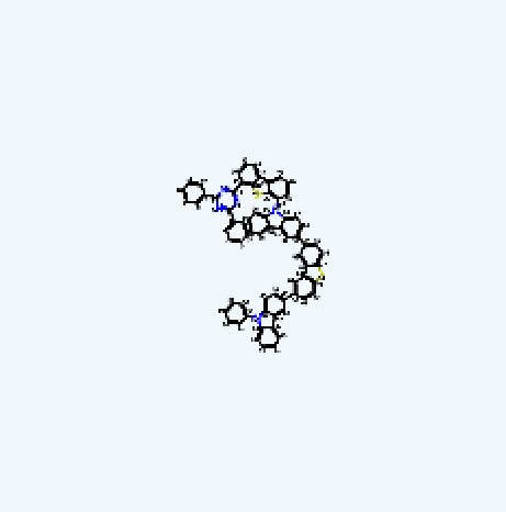 c1ccc(-c2nc(-c3ccccc3)nc(-c3cccc4c3sc3c(-n5c6ccccc6c6cc(-c7ccc8sc9ccc(-c%10ccc%11c(c%10)c%10ccccc%10n%11-c%10ccccc%10)cc9c8c7)ccc65)cccc34)n2)cc1